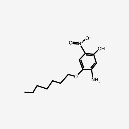 CCCCCCCOc1cc([N+](=O)[O-])c(O)cc1N